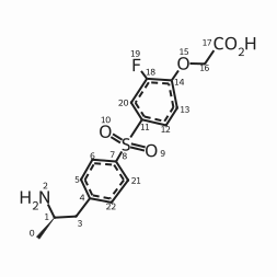 C[C@@H](N)Cc1ccc(S(=O)(=O)c2ccc(OCC(=O)O)c(F)c2)cc1